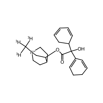 [3H]C([3H])([3H])[N+]12CCC(CC1)C(OC(=O)C(O)(C1=CCCC=C1)C1C=CC=CC1)C2